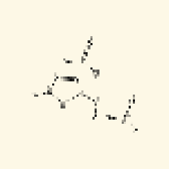 CC(=O)O.CCN1C=CN(C)C1.C[S+](C)[O-]